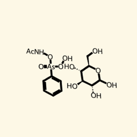 CC(=O)NO[As](=O)(OO)c1ccccc1.OC[C@H]1OC(O)[C@H](O)[C@@H](O)[C@@H]1O